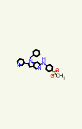 CS(=O)(=O)c1ccc(Nc2cc3c(cn2)cc(-c2cccnc2)n3Cc2ccccc2)cc1